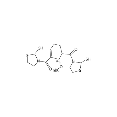 CCCCO[C@@H]1C(C(=O)N2CCSC2S)=CCCC1C(=O)N1CCSC1S